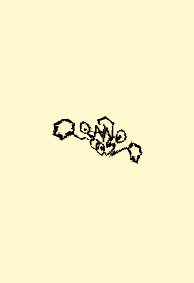 O=S(=O)(Cc1ccccc1)N1CCCN1S(=O)(=O)Cc1ccccc1